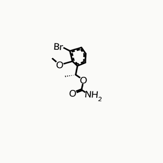 COc1c(Br)cccc1[C@@H](C)OC(N)=O